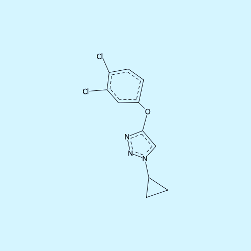 Clc1ccc(Oc2cn(C3CC3)nn2)cc1Cl